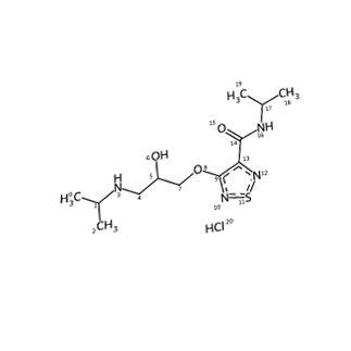 CC(C)NCC(O)COc1nsnc1C(=O)NC(C)C.Cl